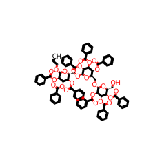 C=CCOC1O[C@H](CO[C@@H]2O[C@H](CO[C@@H]3O[C@H](CO)[C@@H](OC(=O)c4ccccc4)[C@H](OC(=O)c4ccccc4)[C@H]3OC(=O)c3ccccc3)[C@@H](OC(=O)c3ccccc3)[C@H](OC(=O)c3ccccc3)[C@H]2OC(=O)c2ccccc2)[C@@H](OC(=O)c2ccccc2)[C@H](OC(=O)c2ccccc2)[C@H]1OC(=O)c1ccccc1